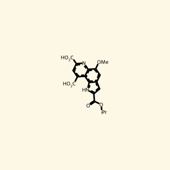 COc1cc2cc(C(=O)OC(C)C)[nH]c2c2c(C(=O)O)cc(C(=O)O)nc12